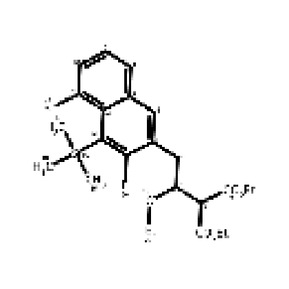 CCOC(=O)C(C(=O)OCC)C(Cc1cc2cccc(Br)c2c([Si](C)(C)C)c1F)OCC